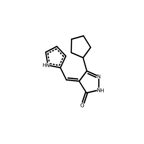 O=C1NN=C(C2CCCC2)C1=Cc1ccc[nH]1